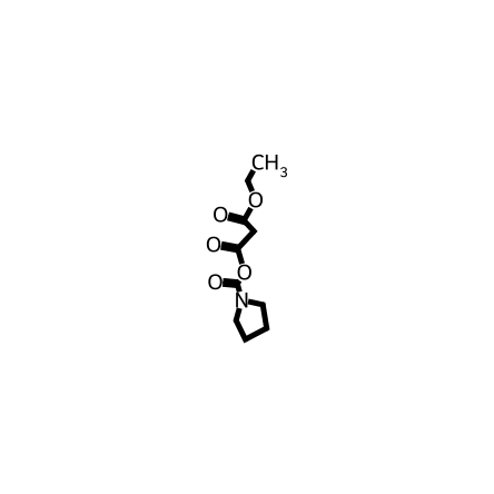 CCOC(=O)CC(=O)OC(=O)N1CCCC1